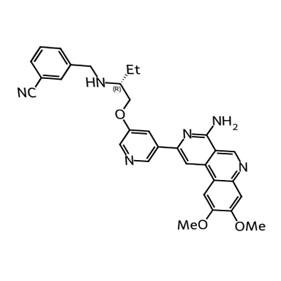 CC[C@H](COc1cncc(-c2cc3c(cnc4cc(OC)c(OC)cc43)c(N)n2)c1)NCc1cccc(C#N)c1